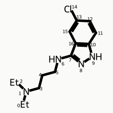 CCN(CC)CCCNc1n[nH]c2ccc(Cl)cc12